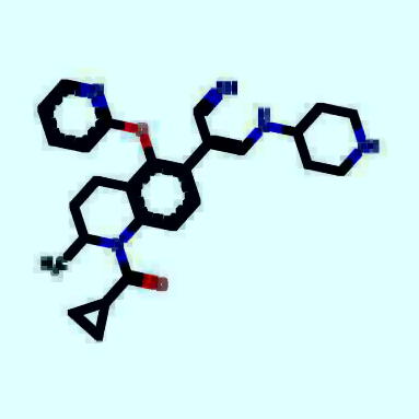 CC1CCc2c(ccc(/C(C=N)=C/NC3CCNCC3)c2Oc2ccccn2)N1C(=O)C1CC1